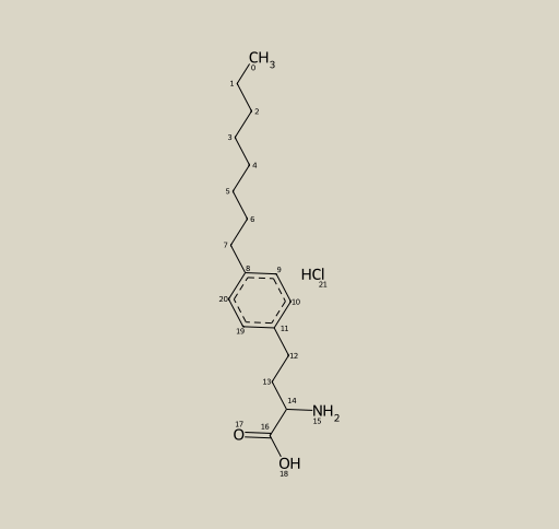 CCCCCCCCc1ccc(CCC(N)C(=O)O)cc1.Cl